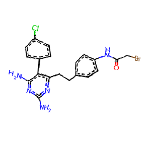 Nc1nc(N)c(-c2ccc(Cl)cc2)c(CCc2ccc(NC(=O)CBr)cc2)n1